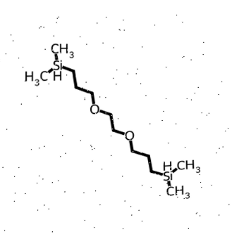 C[SiH](C)CCCOCCOCCC[SiH](C)C